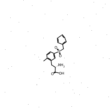 Cc1ccc(S(=O)(=O)Cc2ccccc2)cc1C[C@H](N)C(=O)O